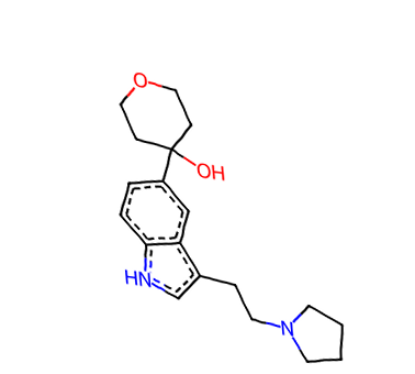 OC1(c2ccc3[nH]cc(CCN4CCCC4)c3c2)CCOCC1